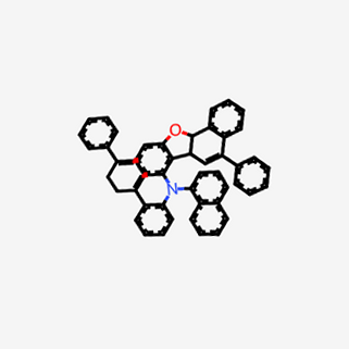 C1=C(c2ccccc2)CCC(c2ccccc2N(c2cccc3c2C2C=C(c4ccccc4)c4ccccc4C2O3)c2cccc3ccccc23)=C1